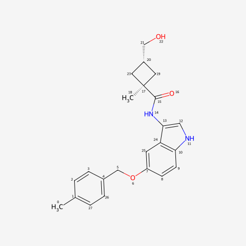 Cc1ccc(COc2ccc3[nH]cc(NC(=O)[C@]4(C)C[C@@H](CO)C4)c3c2)cc1